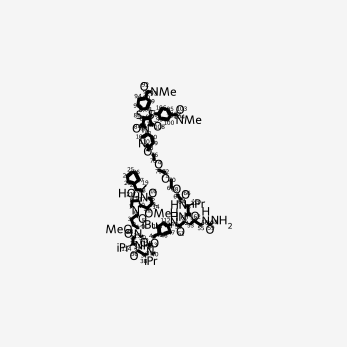 CCC(C)[C@@H]([C@@H](CC(=O)N1CCC[C@H]1[C@H](OC)[C@@H](C)C(=O)N[C@H](C)[C@@H](O)c1ccccc1)OC)N(C)C(=O)[C@@H](NC(=O)[C@H](C(C)C)N(C)C(=O)OCc1ccc(NC(=O)[C@H](CCCNC(N)=O)NC(=O)[C@@H](NC(=O)COCCOCCOCCOc2ccc(N3C(=O)C(Sc4ccc(C(=O)NC)cc4)=C(Sc4ccc(C(=O)NC)cc4)C3=O)cn2)C(C)C)cc1)C(C)C